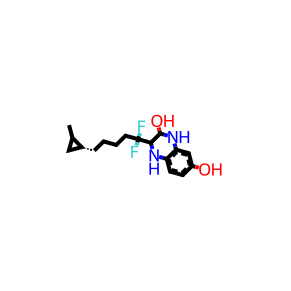 CC1C[C@H]1CCCCC(F)(F)C1Nc2ccc(O)cc2NC1O